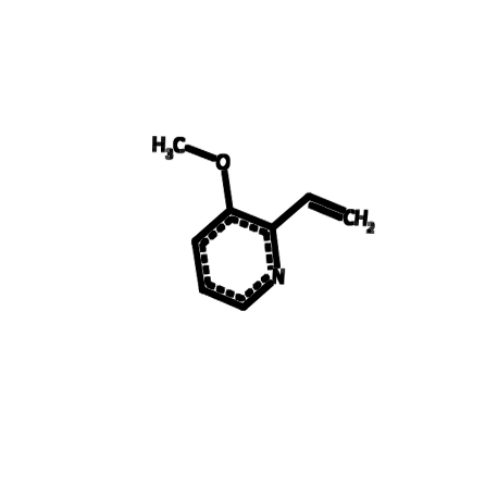 C=Cc1ncccc1OC